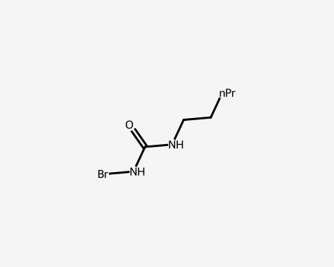 CCCCCNC(=O)NBr